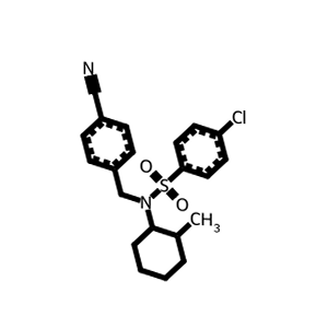 CC1CCCCC1N(Cc1ccc(C#N)cc1)S(=O)(=O)c1ccc(Cl)cc1